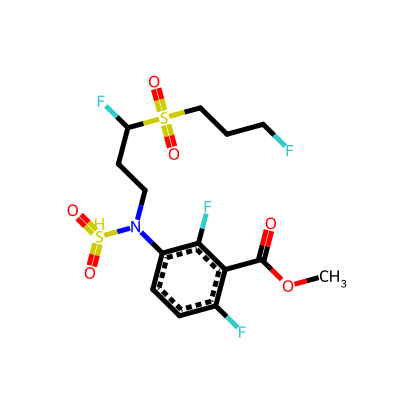 COC(=O)c1c(F)ccc(N(CCC(F)S(=O)(=O)CCCF)[SH](=O)=O)c1F